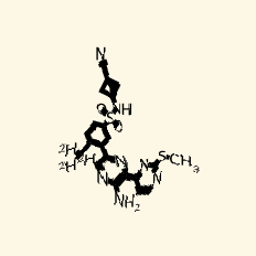 [2H]C([2H])([2H])c1ccc(S(=O)(=O)NC23CC(C#N)(C2)C3)cc1-c1cnc(N)c(-c2ccnc(SC)n2)n1